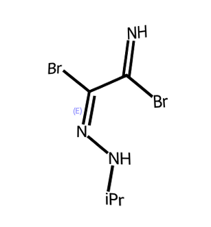 CC(C)N/N=C(/Br)C(=N)Br